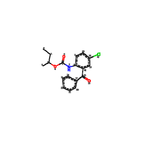 CCC(C)OC(=O)Nc1ccc(Cl)cc1C(=O)c1ccccc1